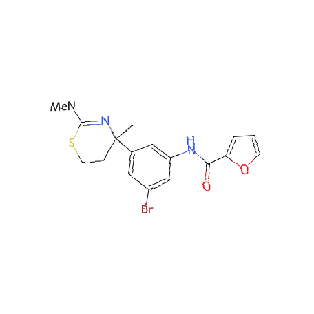 CNC1=NC(C)(c2cc(Br)cc(NC(=O)c3ccco3)c2)CCS1